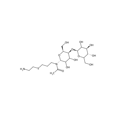 CC(=O)N(CCCSCCN)[C@@H]1O[C@@H](CO)[C@@H](O[C@@H]2OC(CO)[C@@H](O)[C@H](O)C2O)C(O)C1O